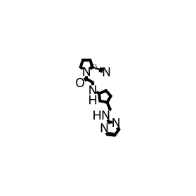 N#C[C@@H]1CCCN1C(=O)CNC1CCC(CNc2ncccn2)C1